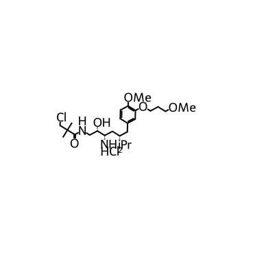 COCCCOc1cc(C[C@@H](C[C@H](N)[C@@H](O)CNC(=O)C(C)(C)CCl)C(C)C)ccc1OC.Cl